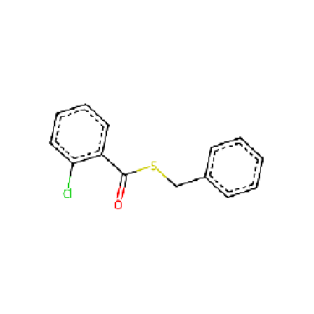 O=C(SCc1ccccc1)c1ccccc1Cl